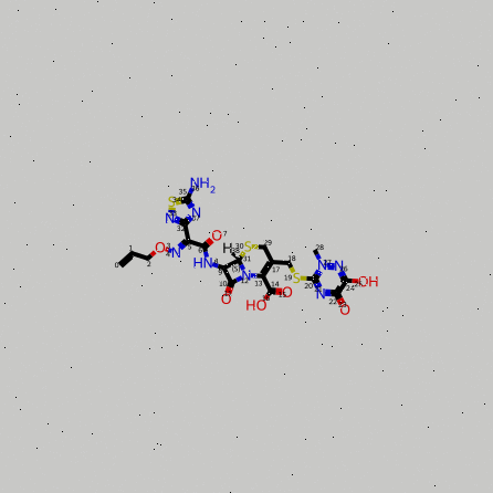 C=CCON=C(C(=O)NC1C(=O)N2C(C(=O)O)=C(CSc3nc(=O)c(O)nn3C)CS[C@@H]12)c1nsc(N)n1